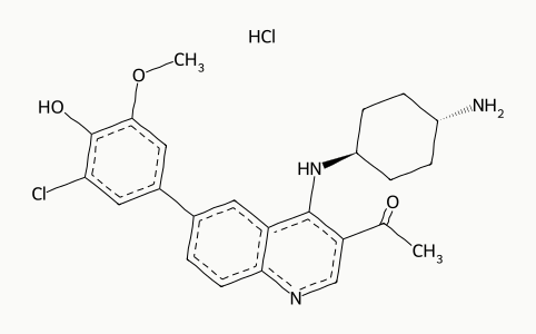 COc1cc(-c2ccc3ncc(C(C)=O)c(N[C@H]4CC[C@H](N)CC4)c3c2)cc(Cl)c1O.Cl